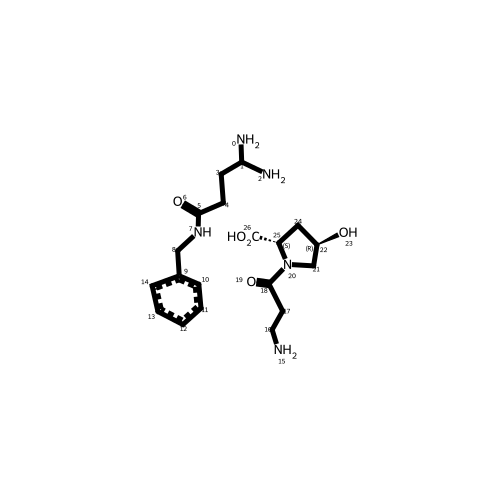 NC(N)CCC(=O)NCc1ccccc1.NCCC(=O)N1C[C@H](O)C[C@H]1C(=O)O